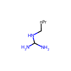 CCCCNC(N)N